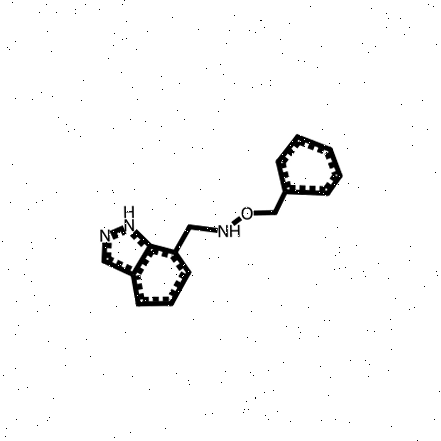 c1ccc(CONCc2cccc3cn[nH]c23)cc1